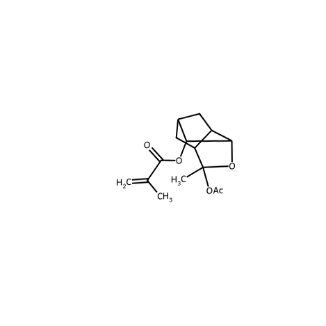 C=C(C)C(=O)OC1C2CC3C1OC(C)(OC(C)=O)C3C2